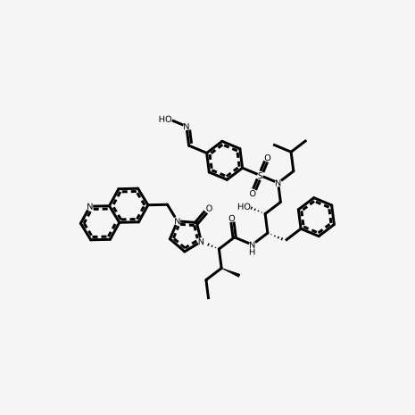 CC[C@H](C)[C@@H](C(=O)N[C@@H](Cc1ccccc1)[C@H](O)CN(CC(C)C)S(=O)(=O)c1ccc(/C=N/O)cc1)n1ccn(Cc2ccc3ncccc3c2)c1=O